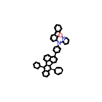 C1=CCC=CC(c2c3c(c(-c4ccccc4)c4ccccc24)-c2cccc4c(-c5ccc(N(c6ccccn6)c6cccc7c6oc6ccccc67)cc5)ccc-3c24)=C1